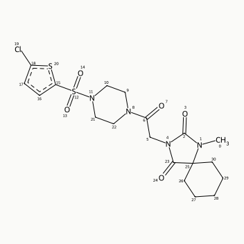 CN1C(=O)N(CC(=O)N2CCN(S(=O)(=O)c3ccc(Cl)s3)CC2)C(=O)C12CCCCC2